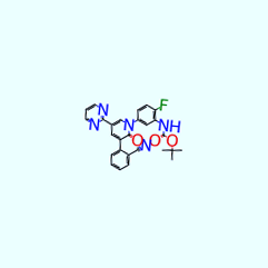 CC(C)(C)OC(=O)Nc1cc(-n2cc(-c3ncccn3)cc(-c3ccccc3C#N)c2=O)ccc1F